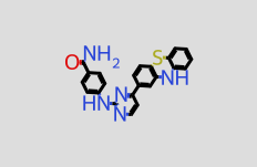 NC(=O)c1ccc(Nc2nccc(-c3ccc4c(c3)Nc3ccccc3S4)n2)cc1